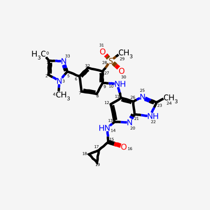 Cc1cn(C)c(-c2ccc(Nc3cc(NC(=O)C4CC4)nc4[nH]c(C)nc34)c(S(C)(=O)=O)c2)n1